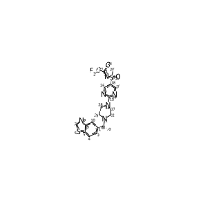 C[C@H](c1ccc2scnc2c1)N1CCN(c2ncc(S(C)(=O)=NC(=O)C(F)(F)F)cn2)CC1